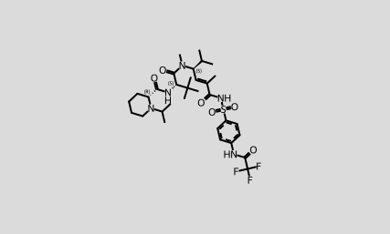 CC(=C[C@H](C(C)C)N(C)C(=O)[C@@H](NC(=O)[C@H]1CCCCN1C(C)C)C(C)(C)C)C(=O)NS(=O)(=O)c1ccc(NC(=O)C(F)(F)F)cc1